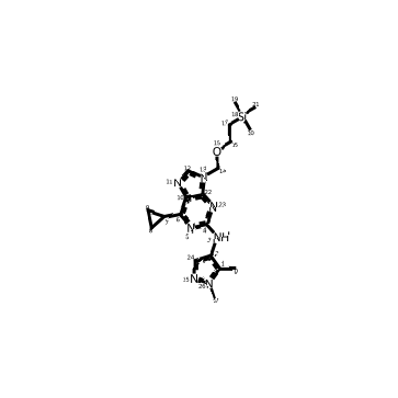 Cc1c(Nc2nc(C3CC3)c3ncn(COCC[Si](C)(C)C)c3n2)cnn1C